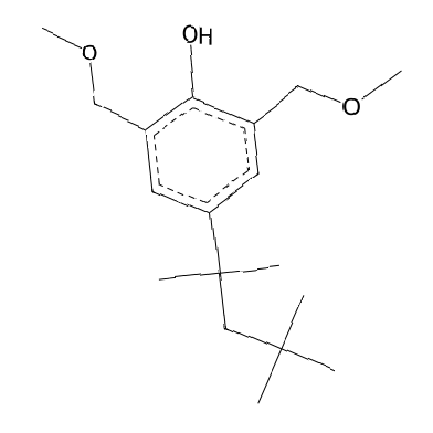 COCc1cc(C(C)(C)CC(C)(C)C)cc(COC)c1O